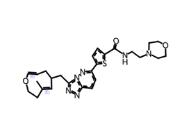 C/C1=C\C(Cc2nnc3ccc(-c4ccc(C(=O)NCCN5CCOCC5)s4)nn23)C/C=C/OCC1